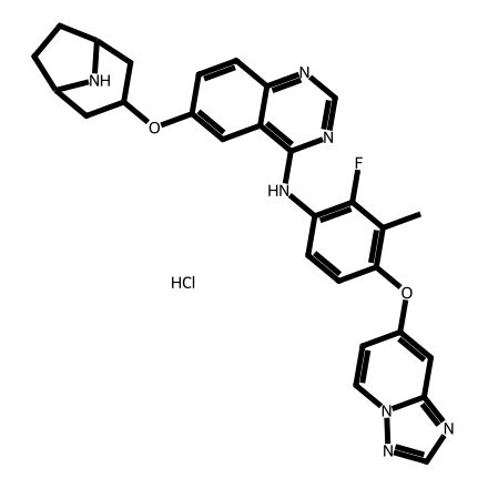 Cc1c(Oc2ccn3ncnc3c2)ccc(Nc2ncnc3ccc(OC4CC5CCC(C4)N5)cc23)c1F.Cl